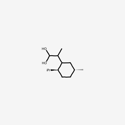 CC(C(O)O)C1C[C@H](C)C[CH][C@H]1C(C)C